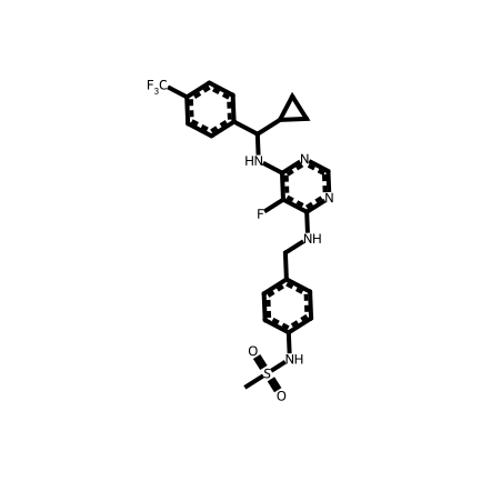 CS(=O)(=O)Nc1ccc(CNc2ncnc(NC(c3ccc(C(F)(F)F)cc3)C3CC3)c2F)cc1